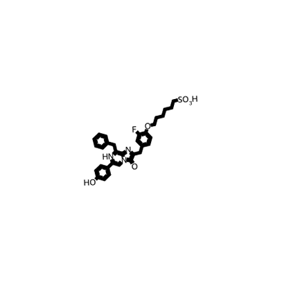 O=c1c(Cc2ccc(OCCCCCCS(=O)(=O)O)c(F)c2)nc2c(Cc3ccccc3)[nH]c(-c3ccc(O)cc3)cn1-2